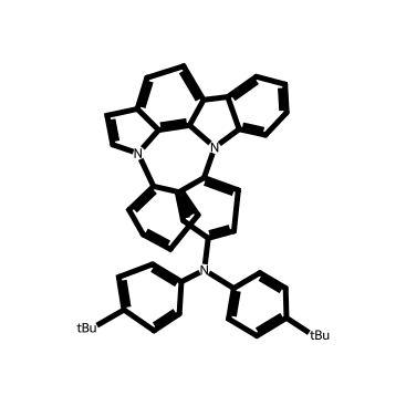 CC(C)(C)c1ccc(N(c2ccc(-n3c4ccccc4c4ccc5ccn(-c6ccccc6)c5c43)cc2)c2ccc(C(C)(C)C)cc2)cc1